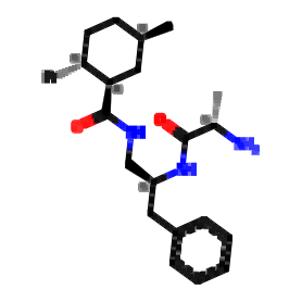 CC(C)[C@@H]1CC[C@@H](C)C[C@H]1C(=O)NC[C@H](Cc1ccccc1)NC(=O)[C@H](C)N